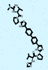 CC(C)[C@H](NC(=N)N(C)C)C(=O)N1CCC[C@H]1c1ncc(-c2ccc(-c3ccc(-c4cnc([C@@H]5CCCN5C(=O)[C@@H](NC5OCO5)C(C)C)[nH]4)cc3)cc2)[nH]1